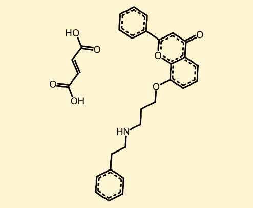 O=C(O)C=CC(=O)O.O=c1cc(-c2ccccc2)oc2c(OCCCNCCc3ccccc3)cccc12